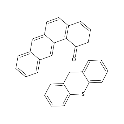 O=C1CC=Cc2ccc3cc4ccccc4cc3c21.c1ccc2c(c1)Cc1ccccc1S2